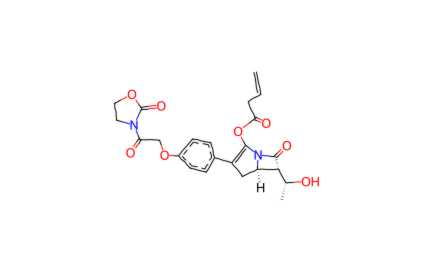 C=CCC(=O)OC1=C(c2ccc(OCC(=O)N3CCOC3=O)cc2)C[C@@H]2[C@@H]([C@@H](C)O)C(=O)N12